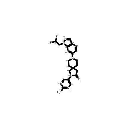 O=C1CC2(CCN(c3cnc4cnn(CC(F)F)c4n3)CC2)CN1c1cnc(C(F)(F)F)nc1